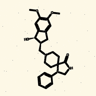 COc1cc2c(cc1OC)[C@@H](O)[C@H](CN1CCC3(CC1)C(=O)NCN3c1ccccc1)C2